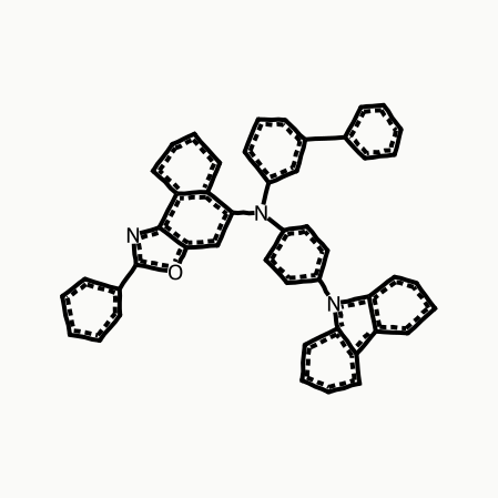 c1ccc(-c2cccc(N(c3ccc(-n4c5ccccc5c5ccccc54)cc3)c3cc4oc(-c5ccccc5)nc4c4ccccc34)c2)cc1